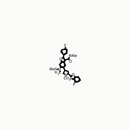 CNC(=O)c1c(-c2ccc(F)cc2)oc2cc(N(C)SC)c(C3CC(c4nc5c(F)cccc5o4)N(C)C3)cc12